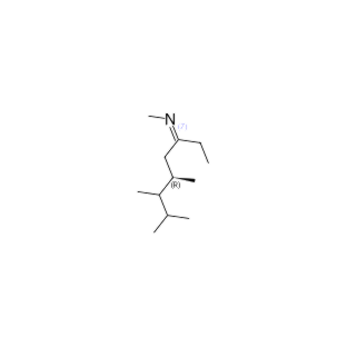 CC/C(C[C@@H](C)C(C)C(C)C)=N/C